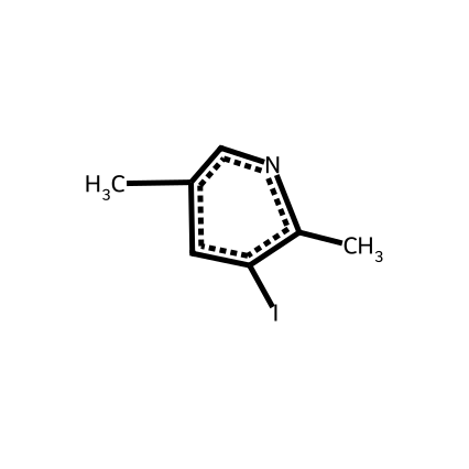 Cc1cnc(C)c(I)c1